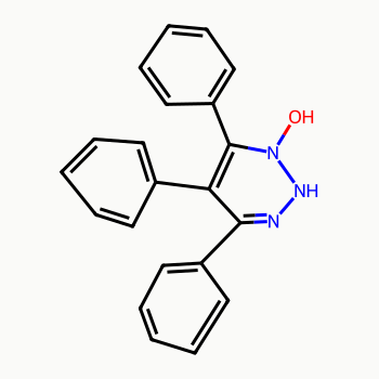 ON1NN=C(c2ccccc2)C(c2ccccc2)=C1c1ccccc1